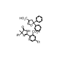 CCc1cnc(C2=NC(C)(C(C)C)C(=O)N2)c(C(=O)O)c1.O=C(O)C1=NOC(c2ccccc2)(c2ccccc2)C1